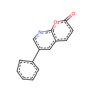 O=c1ccc2cc(-c3ccccc3)cnc2o1